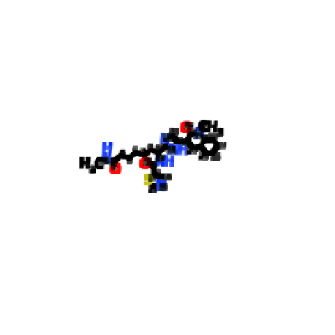 CNC(=O)CCCCCC(NC(=O)c1cncs1)c1ncc(-c2cc3ccccc3n(C)c2=O)[nH]1